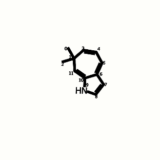 CC1(C)C=CC=c2cc[nH]c2=C1